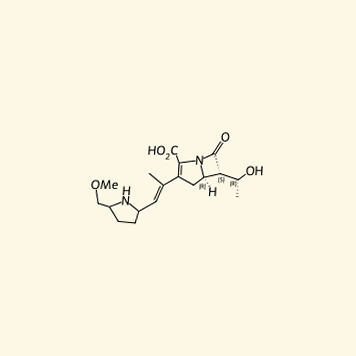 COCC1CCC(C=C(C)C2=C(C(=O)O)N3C(=O)[C@H]([C@@H](C)O)[C@H]3C2)N1